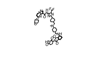 CN(CC1CCC(C2N=C(NC(=O)c3cnn4ccc(N5CCOCC5)nc34)C(C(F)F)=N2)CC1)C1CCC(CNc2cccc3c2C(=O)N(C2CCC(=O)NC2=O)C3=O)CC1